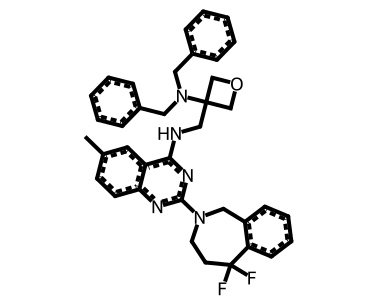 Cc1ccc2nc(N3CCC(F)(F)c4ccccc4C3)nc(NCC3(N(Cc4ccccc4)Cc4ccccc4)COC3)c2c1